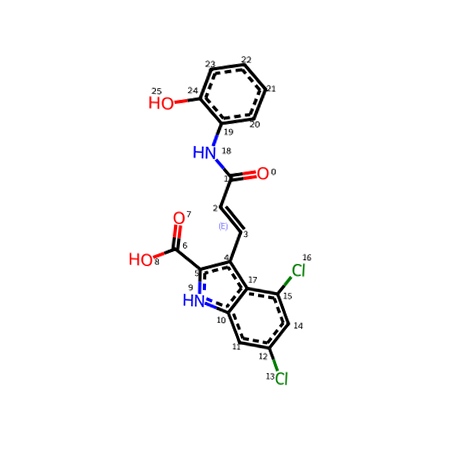 O=C(/C=C/c1c(C(=O)O)[nH]c2cc(Cl)cc(Cl)c12)Nc1ccccc1O